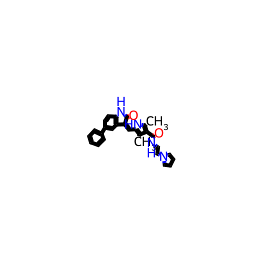 Cc1[nH]c(/C=C2\C(=O)Nc3ccc(-c4ccccc4)cc32)c(C)c1C(=O)NCCN1CCCC1